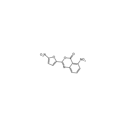 O=c1oc(-c2ccc([N+](=O)[O-])o2)nc2cccc([N+](=O)[O-])c12